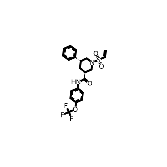 C=CS(=O)(=O)N1C[C@@H](C(=O)Nc2ccc(OC(F)(F)F)cc2)C[C@H](c2ccccc2)C1